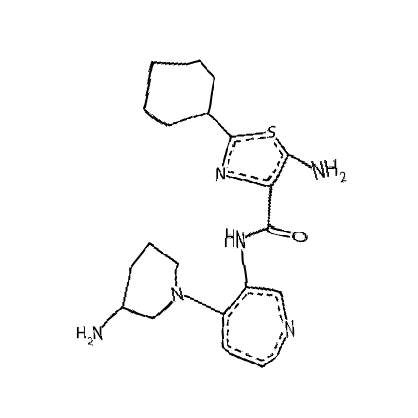 Nc1sc(C2CCCCC2)nc1C(=O)Nc1cnccc1N1CCCC(N)C1